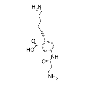 NCCCCC#Cc1ccc(NC(=O)CCN)cc1C(=O)O